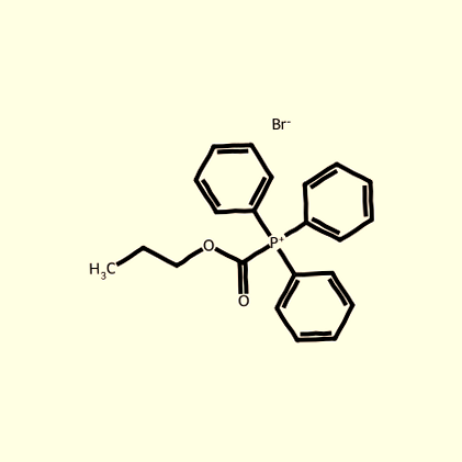 CCCOC(=O)[P+](c1ccccc1)(c1ccccc1)c1ccccc1.[Br-]